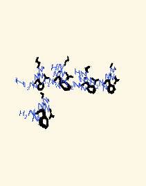 CCCCN(C)c1nc2c(N)nc3ccccc3c2n1CC(C)C.CCCCNc1nc2c(N)nc3ccccc3c2n1CC(C)C.CCCN(C)c1nc2c(N)nc3ccccc3c2n1CC(C)C.CCCNc1nc2c(N)nc3ccccc3c2n1CC(C)C.CCN(C)c1nc2c(N)nc3ccccc3c2n1CC(C)C